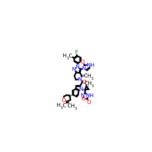 Cc1cc(-n2nc3c(c2-n2cc[nH]c2=O)[C@H](C)N(C(=O)c2cc4cc([C@H]5CCOC(C)(C)C5)ccc4n2[C@@]2(c4noc(=O)[nH]4)C[C@@H]2C)CC3)ccc1F